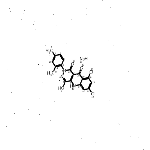 Cc1ccc(-n2nc(O)c3[nH]c4cc(Cl)cc(Cl)c4c(=O)c3c2=O)c(C)c1.[NaH]